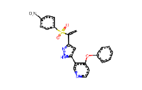 C=C(c1cc(-c2cnccc2Oc2ccccc2)[nH]n1)S(=O)(=O)c1ccc([N+](=O)[O-])cc1